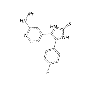 CC(C)Nc1cc(-c2[nH]c(=S)[nH]c2-c2ccc(F)cc2)ccn1